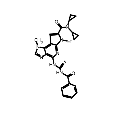 CCn1c(C(=O)N(C2CC2)C2CC2)cc2c3c(ncn3C)c(NC(=S)NC(=O)c3ccccc3)nc21